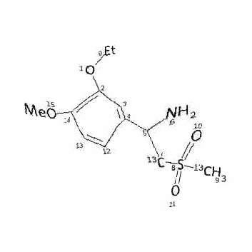 CCOc1cc(C(N)[13CH2]S([13CH3])(=O)=O)ccc1OC